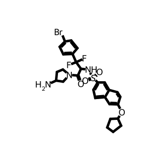 NC1CCN(C(=O)C(NS(=O)(=O)c2ccc3cc(OC4CCCC4)ccc3c2)C(F)(F)c2ccc(Br)cc2)C1